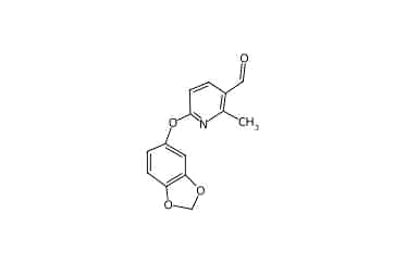 Cc1nc(Oc2ccc3c(c2)OCO3)ccc1C=O